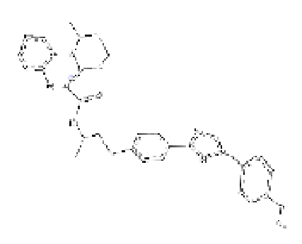 CCc1ccccc1N1/C(=N/C(=O)NC(C)CCc2ccc(-c3ncn(-c4ccc(OC(F)(F)F)cc4)n3)cc2)SCCC1C